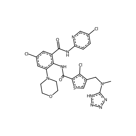 CN(Cc1csc(C(=O)Nc2c(C(=O)Nc3ccc(Cl)cn3)cc(Cl)cc2N2CCOCC2)c1Cl)c1nnn[nH]1